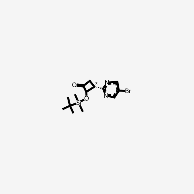 CC(C)(C)[Si](C)(C)OC1C(=O)C[C@@H]1c1ncc(Br)cn1